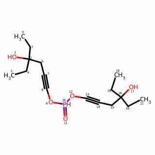 CCC(O)(CC)CC#CO[PH](=O)OC#CCC(O)(CC)CC